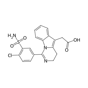 NS(=O)(=O)c1cc(C2=NCCc3c(CC(=O)O)c4ccccc4n32)ccc1Cl